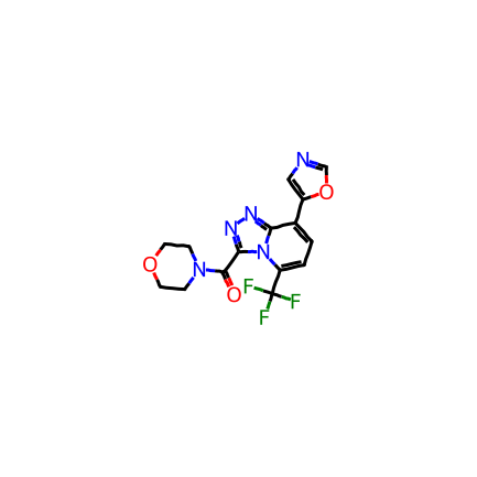 O=C(c1nnc2c(-c3cnco3)ccc(C(F)(F)F)n12)N1CCOCC1